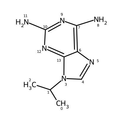 CC(C)n1cnc2c(N)nc(N)nc21